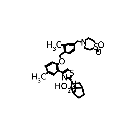 Cc1ccc(OCc2ccc(CN3CCS(=O)(=O)CC3)cc2C)c(-c2csc(N3CC4CCC(C3)C4C(=O)O)n2)c1